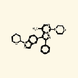 Cc1cnc(N2CCOCC2)n2nc(-c3ccccc3)c(-c3ccc4c(cnn4C4CCCCO4)c3)c12